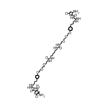 N=C(NCCCc1ccc(OCCOCCOCCNC(=O)NCCCCCCNC(=O)NCCOCCOCCOc2ccc(CCCNC(=N)NC(=O)c3nc(Cl)c(N)nc3N)cc2)cc1)NC(=O)C1=NC(Cl)=CC1N